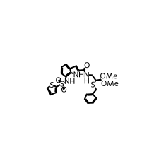 COC(OC)C(CNC(=O)c1cc2cccc(NS(=O)(=O)c3cccs3)c2[nH]1)SCc1ccccc1